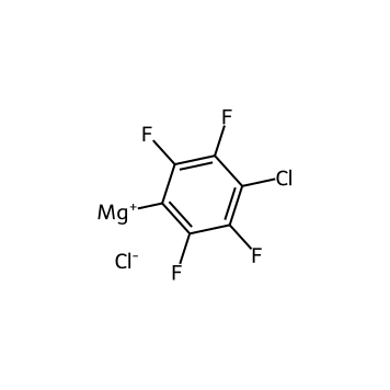 Fc1c(F)c(Cl)c(F)c(F)[c]1[Mg+].[Cl-]